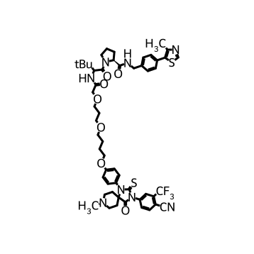 Cc1ncsc1-c1ccc(CNC(=O)[C@@H]2CCCN2C(=O)C(NC(=O)COCCCOCCCCOc2ccc(N3C(=S)N(c4ccc(C#N)c(C(F)(F)F)c4)C(=O)C34CCN(C)CC4)cc2)C(C)(C)C)cc1